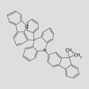 CC1(C)c2ccccc2-c2ccc(N3c4ccccc4C(c4ccccc4)(c4cccc5c4oc4ccccc45)c4ccccc43)cc21